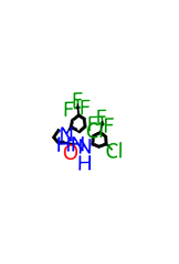 O=C(NNc1cc(Cl)cc(C(F)(F)F)c1)c1cccn1-c1cc(Cl)cc(C(F)(F)F)c1